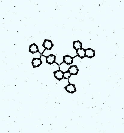 c1ccc(-n2c3ccccc3c3c(N(c4ccc(-c5cc6ccccc6c6ccccc56)cc4)c4ccc([Si](c5ccccc5)(c5ccccc5)c5ccccc5)cc4)cccc32)cc1